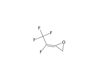 FC(=C1CO1)C(F)(F)F